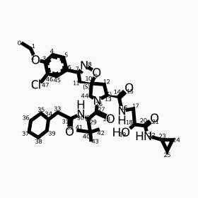 CCOc1ccc(C2=NO[C@]3(C2)C[C@@H](C(=O)NCC(O)C(=O)NC2CC2)N(C(=O)[C@@H](NC(=O)CC2CCCCC2)C(C)(C)C)C3)cc1Cl